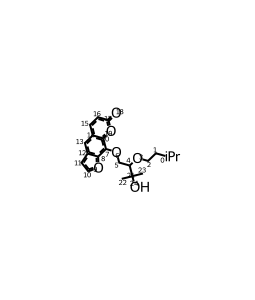 CC(C)CCOC(COc1c2occc2cc2ccc(=O)oc12)C(C)(C)O